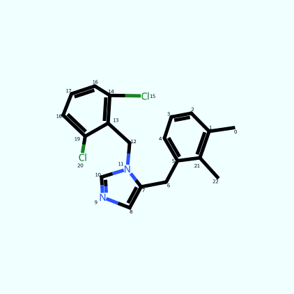 Cc1cccc(Cc2cncn2Cc2c(Cl)cccc2Cl)c1C